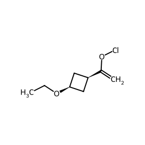 C=C(OCl)[C@H]1C[C@@H](OCC)C1